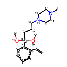 C=Cc1ccccc1[Si](CCCN1CCN(C)CC1)(OC)OC